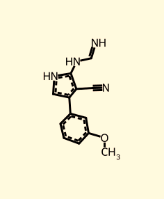 COc1cccc(-c2c[nH]c(NC=N)c2C#N)c1